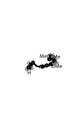 COc1cc(N2CCC(N3CCN(CCCC#Cc4cccc5c4CN(C4CCC(=O)NC4=O)C5=O)CC3)CC2)ccc1Nc1ncc(Cl)c(Nc2ccccc2P(=O)(OC)OC)n1